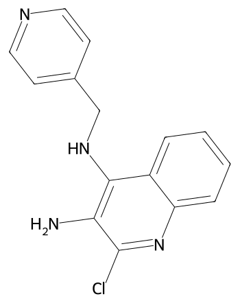 Nc1c(Cl)nc2ccccc2c1NCc1ccncc1